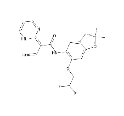 CC1(C)Cc2cc(NC(=O)/C(C=N)=C3\N=CC=CN3)c(OCC(F)F)cc2O1